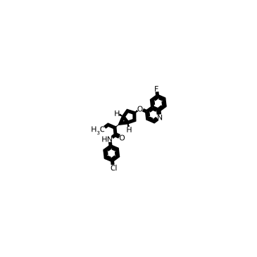 CCC(C(=O)Nc1ccc(Cl)cc1)[C@@H]1[C@@H]2C[C@@H](Oc3ccnc4ccc(F)cc34)C[C@@H]21